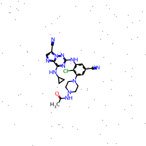 CC(=O)NN1CCN(c2cc(C#N)cc(Nc3nc(NC4CC4)c4ncc(C#N)n4n3)c2Cl)CC1